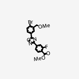 COCc1cc(-c2nc(-c3ccc(C(=O)OC)c(F)c3)no2)ccc1Br